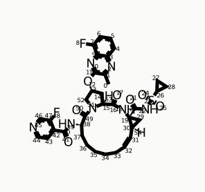 Cc1nc2cccc(F)c2nc1O[C@@H]1C[C@H]2C(=O)N[C@]3(C(=O)NS(=O)(=O)C4CC4)C[C@H]3/C=C\CCCCC[C@H](NC(=O)c3ccncc3F)C(=O)N2C1